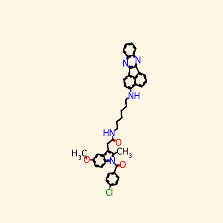 COc1ccc2c(c1)c(CC(=O)NCCCCCCNc1ccc3c4c(cccc14)-c1nc4ccccc4nc1-3)c(C)n2C(=O)c1ccc(Cl)cc1